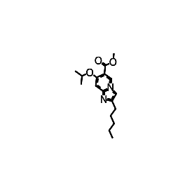 CCCCCc1cn2cc(C(=O)OC)c(OC(C)C)cc2n1